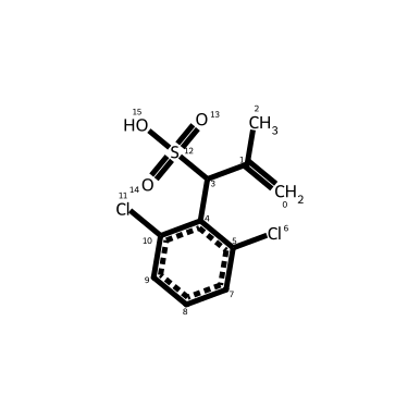 C=C(C)C(c1c(Cl)cccc1Cl)S(=O)(=O)O